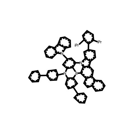 CC(C)c1cccc(C(C)C)c1-c1ccc2c3cc4c(ccc5ccccc54)c4c3n(c2c1)-c1cc(-n2c3ccccc3c3ccccc32)cc2c1B4c1cc(-c3ccccc3)ccc1N2c1ccc(-c2ccccc2)cc1